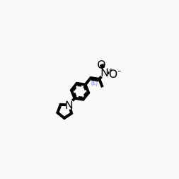 C/C(=C\c1ccc(N2CCCC2)cc1)[N+](=O)[O-]